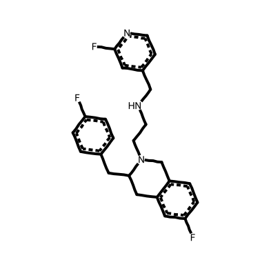 Fc1ccc(CC2Cc3cc(F)ccc3CN2CCNCc2ccnc(F)c2)cc1